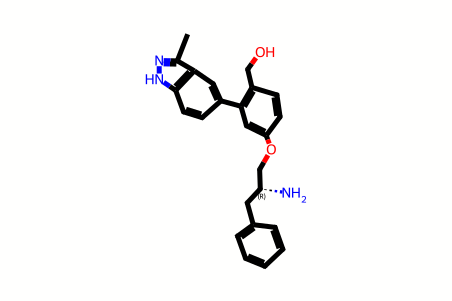 Cc1n[nH]c2ccc(-c3cc(OC[C@H](N)Cc4ccccc4)ccc3CO)cc12